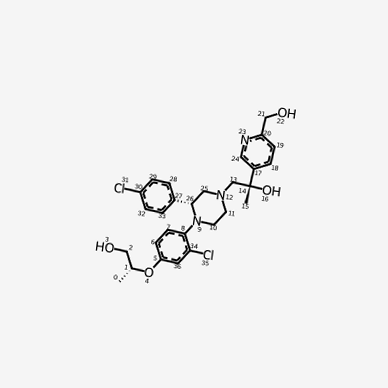 C[C@H](CO)Oc1ccc(N2CCN(C[C@@](C)(O)c3ccc(CO)nc3)C[C@H]2c2ccc(Cl)cc2)c(Cl)c1